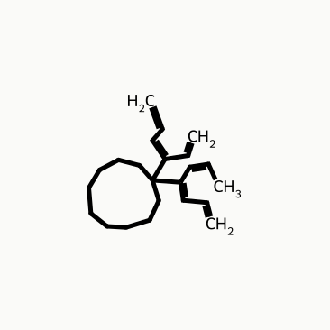 C=C/C=C(\C=C)C1(C(/C=C\C)=C/C=C)CCCCCCCCC1